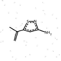 C=C(C)c1cc(N)ns1